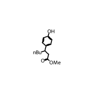 CCCCC(CC(=O)OC)c1ccc(O)cc1